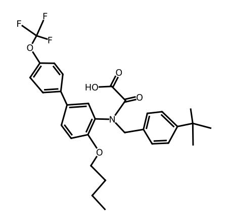 CCCCOc1ccc(-c2ccc(OC(F)(F)F)cc2)cc1N(Cc1ccc(C(C)(C)C)cc1)C(=O)C(=O)O